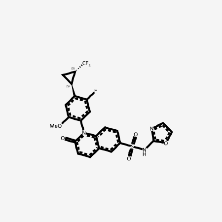 COc1cc([C@H]2C[C@@H]2C(F)(F)F)c(F)cc1-n1c(=O)ccc2cc(S(=O)(=O)Nc3ncco3)ccc21